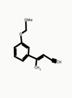 C#CC=C(C)c1cccc(OCOC)c1